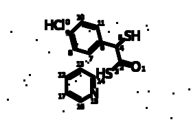 Cl.O=C(S)C(S)c1ccccc1.c1ccncc1